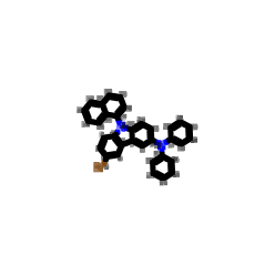 Brc1ccc2c(c1)c1cc(N(c3ccccc3)c3ccccc3)ccc1n2-c1cccc2ccccc12